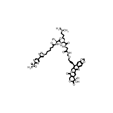 CC[C@@]1(O)C(=O)OCc2c1cc1n(c2=O)Cc2c-1nc1cc3c(cc1c2C#CCOCNC(=O)CNC(=O)[C@H](CCCCN(C)C)NC(=O)[C@@H](NC(=O)CCCCCn1cc(-c2cnc(S(C)(=O)=O)nc2)nn1)C(C)C)OCO3